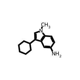 Cn1cc(C2CCCCC2)c2cc(N)ccc21